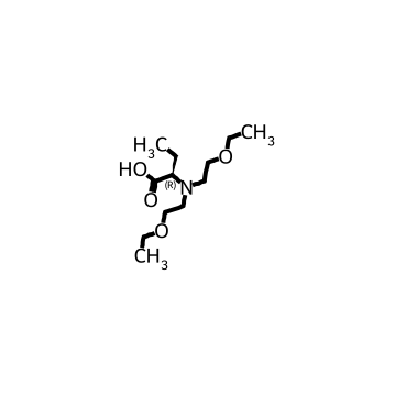 CCOCCN(CCOCC)[C@H](CC)C(=O)O